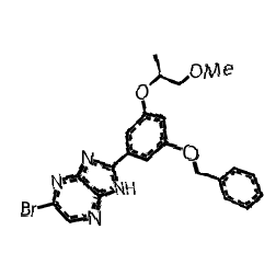 COC[C@H](C)Oc1cc(OCc2ccccc2)cc(-c2nc3nc(Br)cnc3[nH]2)c1